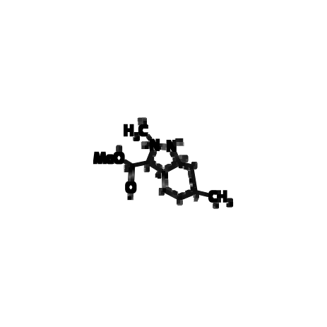 COC(=O)c1c2ccc(C)cc2nn1C